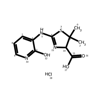 CC1(C)SC(Nc2cccnc2O)=NC1C(=O)O.Cl